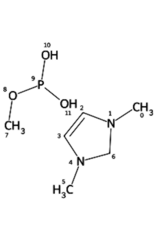 CN1C=CN(C)C1.COP(O)O